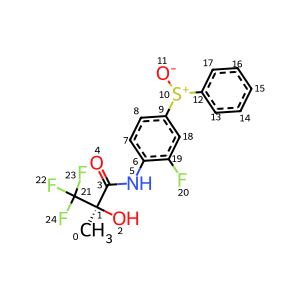 C[C@@](O)(C(=O)Nc1ccc([S+]([O-])c2ccccc2)cc1F)C(F)(F)F